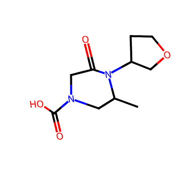 CC1CN(C(=O)O)CC(=O)N1C1CCOC1